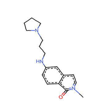 Cn1ccc2cc(NCCCN3CCCC3)ccc2c1=O